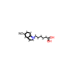 N#Cc1ccc2c(ccn2CCCCCB(O)O)c1